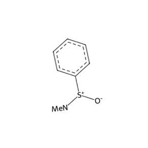 CN[S+]([O-])c1ccccc1